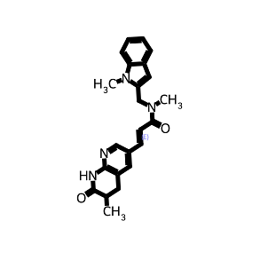 CC1Cc2cc(/C=C/C(=O)N(C)Cc3cc4ccccc4n3C)cnc2NC1=O